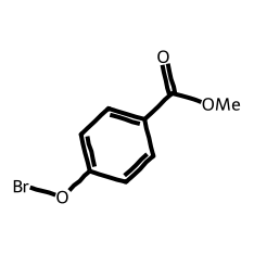 COC(=O)c1ccc(OBr)cc1